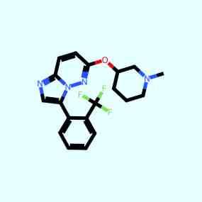 CN1CCCC(Oc2ccc3ncc(-c4ccccc4C(F)(F)F)n3n2)C1